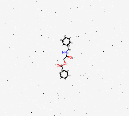 O=C(COC(=O)c1ccccc1)NCc1ccccc1